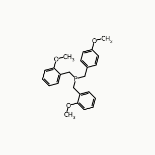 COc1ccc(CP(Cc2ccccc2OC)Cc2ccccc2OC)cc1